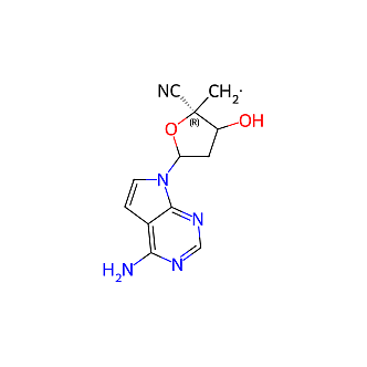 [CH2][C@]1(C#N)OC(n2ccc3c(N)ncnc32)CC1O